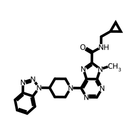 Cn1c(C(=O)NCC2CC2)nc2c(N3CCC(n4nnc5ccccc54)CC3)ncnc21